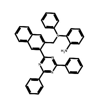 Nc1ccccc1N(Cc1cc2ccccc2cc1-c1nc(-c2ccccc2)nc(-c2ccccc2)n1)c1ccccc1